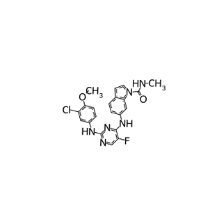 CNC(=O)n1ccc2ccc(Nc3nc(Nc4ccc(OC)c(Cl)c4)ncc3F)cc21